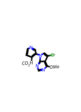 COc1ncnc2c1c(Br)cn2-c1cnccc1C(=O)O